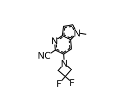 Cn1ccc2nc(C#N)c(N3CC(F)(F)C3)cc21